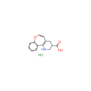 Cl.O=C(O)C1CNC2=C(C=COc3ccccc32)C1